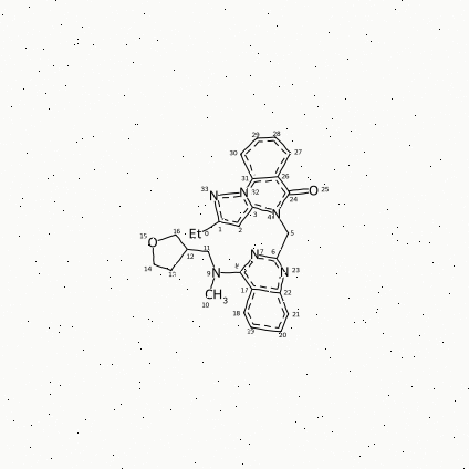 CCc1cc2n(Cc3nc(N(C)CC4CCOC4)c4ccccc4n3)c(=O)c3ccccc3n2n1